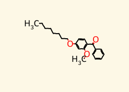 CCCCCCCCOc1ccc(C(=O)c2ccccc2)c(OC)c1